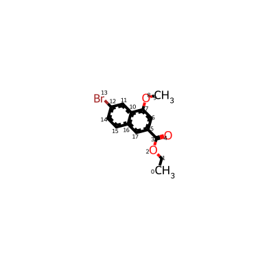 CCOC(=O)c1cc(OC)c2cc(Br)ccc2c1